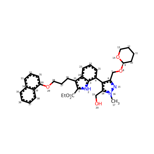 CCOC(=O)c1[nH]c2c(-c3c(CO[C@@H]4CCCCO4)nn(C)c3CO)cccc2c1CCCOc1cccc2ccccc12